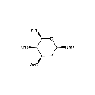 CCC[C@H]1O[C@@H](OC)C[C@@H](OC(C)=O)[C@H]1OC(C)=O